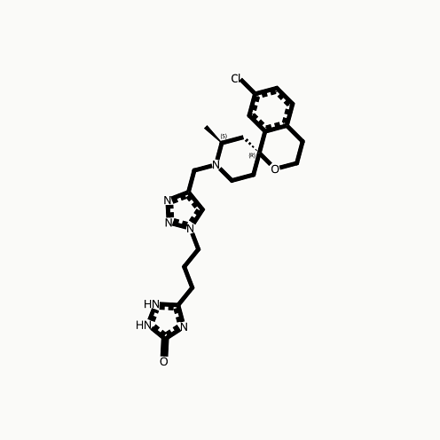 C[C@H]1C[C@@]2(CCN1Cc1cn(CCCc3nc(=O)[nH][nH]3)nn1)OCCc1ccc(Cl)cc12